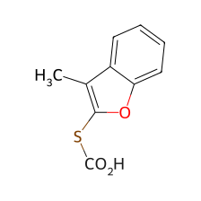 Cc1c(SC(=O)O)oc2ccccc12